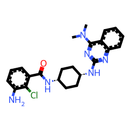 CN(C)c1nc(N[C@H]2CC[C@@H](NC(=O)c3cccc(N)c3Cl)CC2)nc2ccccc12